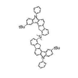 CC(C)(C)c1ccc2c(c1)c1c3c(ccc1n2-c1ccccc1)-c1cccc([Si](C)(C)c2cccc4c2Cc2c-4ccc4c2c2cc(C(C)(C)C)ccc2n4-c2ccccc2)c1C3